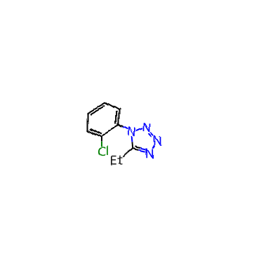 [CH2]Cc1nnnn1-c1ccccc1Cl